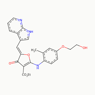 CCOC(=O)C1=C(Nc2ccc(OCCO)cc2C)OC(=Cc2c[nH]c3ncccc23)C1=O